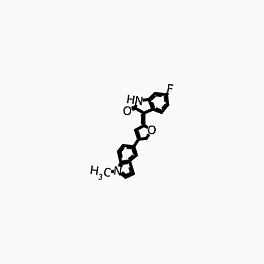 Cn1ccc2cc(C3=CC(=C4C(=O)Nc5cc(F)ccc54)OC3)ccc21